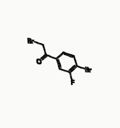 O=C(CBr)c1ccc(Br)c(F)c1